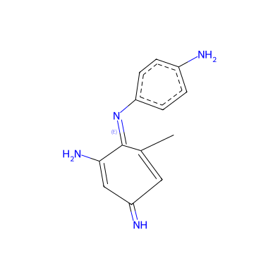 CC1=CC(=N)C=C(N)/C1=N/c1ccc(N)cc1